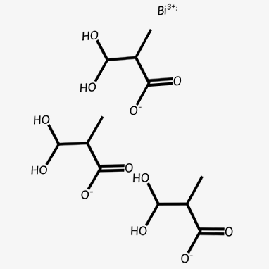 CC(C(=O)[O-])C(O)O.CC(C(=O)[O-])C(O)O.CC(C(=O)[O-])C(O)O.[Bi+3]